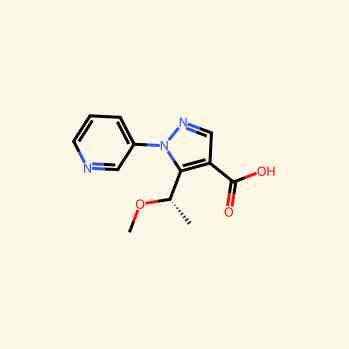 CO[C@@H](C)c1c(C(=O)O)cnn1-c1cccnc1